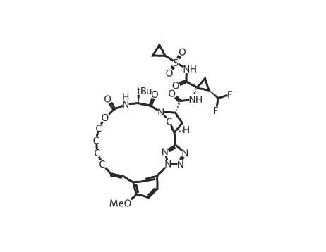 COc1ccc2cc1/C=C/CCCCOC(=O)N[C@@H](C(C)(C)C)C(=O)N1C[C@@H](C[C@H]1C(=O)N[C@]1(C(=O)NS(=O)(=O)C3CC3)C[C@H]1C(F)F)c1nnn-2n1